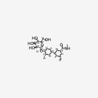 CNC(=O)c1cc(F)cc(-c2ccc(OC3O[C@H](CO)[C@@H](O)[C@H](O)[C@]3(C)O)c(C)c2)c1